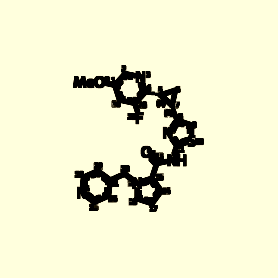 COc1cnc([C@@H]2C[C@H]2c2csc(NC(=O)c3cccn3Cc3ccncc3)n2)c(F)c1